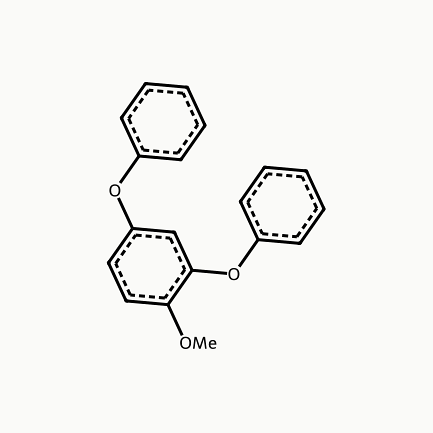 COc1ccc(Oc2ccccc2)cc1Oc1ccccc1